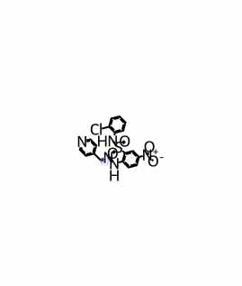 O=[N+]([O-])c1ccc(N/N=C/c2ccncc2)c(S(=O)(=O)Nc2ccccc2Cl)c1